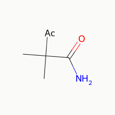 CC(=O)C(C)(C)C(N)=O